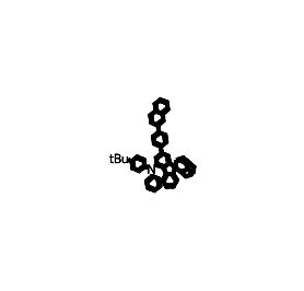 CC(C)(C)c1ccc(N(c2ccccc2)c2cc(-c3ccc(-c4ccc5ccccc5c4)cc3)cc3c2-c2ccccc2C32C3CC4CC(C3)CC2C4)cc1